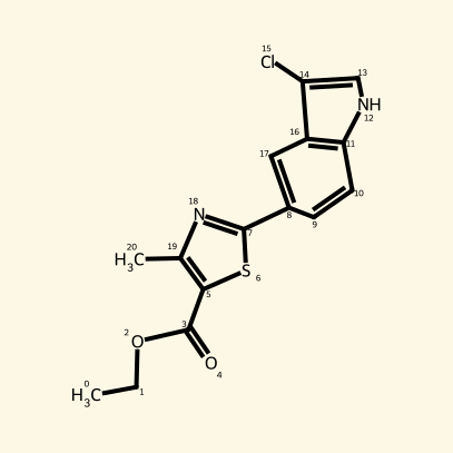 CCOC(=O)c1sc(-c2ccc3[nH]cc(Cl)c3c2)nc1C